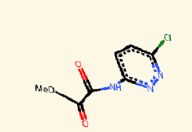 COC(=O)C(=O)Nc1ccc(Cl)nn1